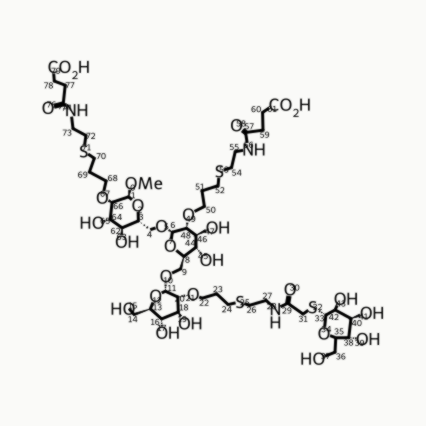 CO[C@H]1O[C@H](CO[C@H]2O[C@H](CO[C@H]3O[C@H](CO)[C@@H](O)[C@H](O)[C@H]3OCCCSCCNC(=O)CS[C@H]3OC(CO)[C@@H](O)[C@H](O)C3O)[C@@H](O)[C@H](O)[C@H]2OCCCSCCNC(=O)CCC(=O)O)[C@@H](O)[C@H](O)[C@H]1OCCCSCCNC(=O)CCC(=O)O